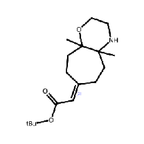 CC(C)(C)OC(=O)/C=C1/CCC2(C)NCCOC2(C)CC1